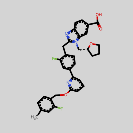 Cc1ccc(COc2cccc(-c3ccc(Cc4nc5ccc(C(=O)O)cc5n4C[C@H]4CCCO4)c(F)c3)n2)c(F)c1